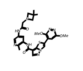 COc1cc(-c2cn3ncc(C(=O)Nc4cc(NC(=O)CN5CC(C)(C)C5)cnc4C)c3s2)c(OC)nn1